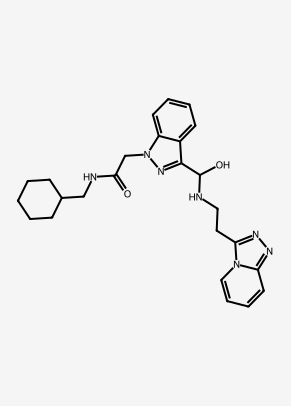 O=C(Cn1nc(C(O)NCCc2nnc3ccccn23)c2ccccc21)NCC1CCCCC1